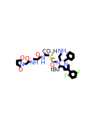 CC(C)(C)C(c1cc(-c2cc(F)ccc2F)cn1Cc1ccccc1)N(CCCN)C(=O)CSCC(NC(=O)CCNC(=O)CN1C(=O)C=CC1=O)C(=O)O